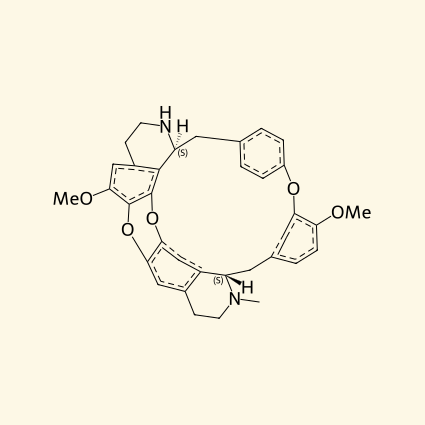 COc1ccc2cc1Oc1ccc(cc1)C[C@@H]1NCCc3cc(OC)c4c(c31)Oc1cc3c(cc1O4)CCN(C)[C@H]3C2